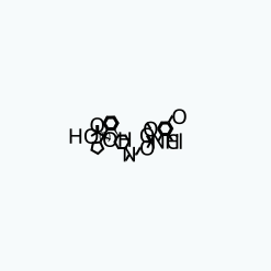 COc1cc(C=O)cc(Cl)c1NC(=O)OCCN(C)[C@H]1CC[C@H](c2ccccc2[C@@](O)(C(=O)O)C2CCCC2)CC1